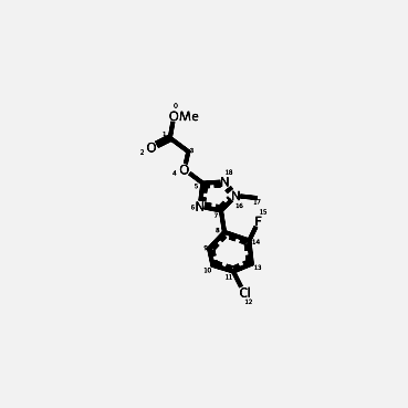 COC(=O)COc1nc(-c2ccc(Cl)cc2F)n(C)n1